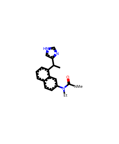 CCN(C(=O)NC)c1ccc2cccc(C(C)c3c[nH]cn3)c2c1